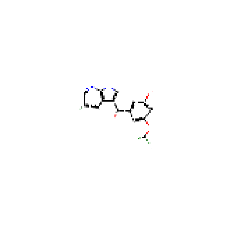 Oc1cc(OC(F)F)cc(C(O)c2c[nH]c3ncc(Br)cc23)c1